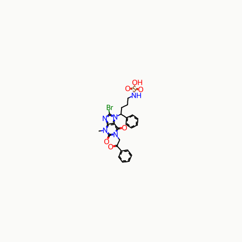 Cn1c(=O)n(CC(=O)c2ccccc2)c(=O)c2c1nc(Br)n2C(CCCNS(=O)(=O)O)c1ccccc1